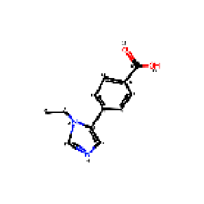 CCn1cncc1-c1ccc(C(=O)O)cc1